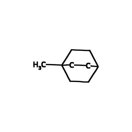 CC12CCC(CC1)CC2